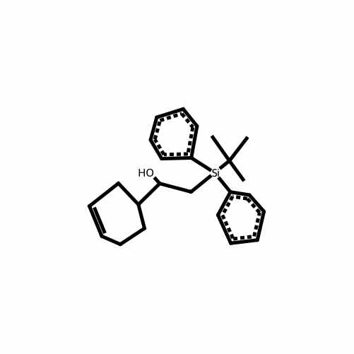 CC(C)(C)[Si](CC(O)C1CC=CCC1)(c1ccccc1)c1ccccc1